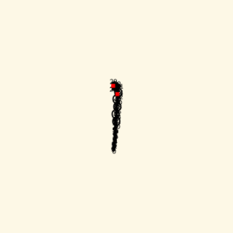 CCCCCCCCCCCCOCCOCCOCCOCCOc1ccc(C)cc1